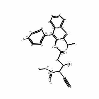 C#CC(C(O)CC(=O)Oc1c(C(C)C)nc2ccccc2c1-c1ccc(F)cc1)[PH](=O)OC